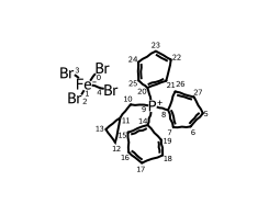 [Br][Fe-]([Br])([Br])[Br].c1ccc([P+](CC2CC2)(c2ccccc2)c2ccccc2)cc1